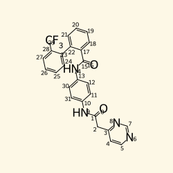 O=C(Cc1ccncn1)Nc1ccc(NC(=O)c2ccccc2-c2ccccc2C(F)(F)F)cc1